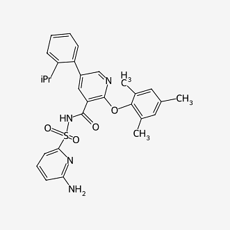 Cc1cc(C)c(Oc2ncc(-c3ccccc3C(C)C)cc2C(=O)NS(=O)(=O)c2cccc(N)n2)c(C)c1